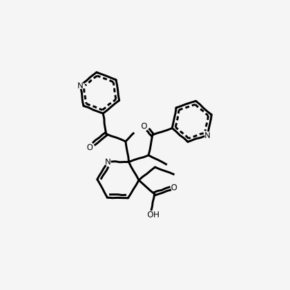 CCC1(C(=O)O)C=CC=NC1(C(C)C(=O)c1cccnc1)C(C)C(=O)c1cccnc1